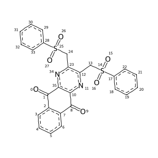 O=C1c2ccccc2C(=O)c2nc(CS(=O)(=O)c3ccccc3)c(CS(=O)(=O)c3ccccc3)nc21